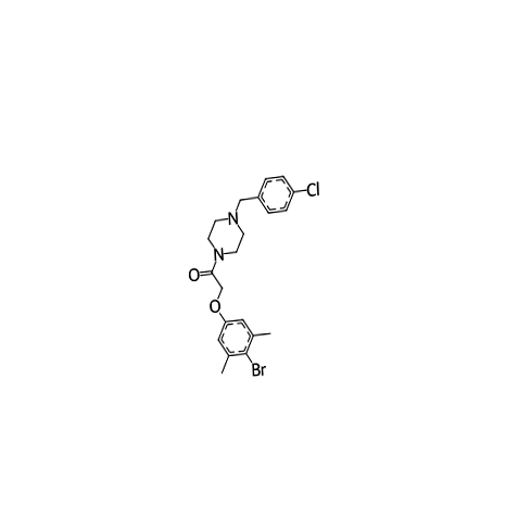 Cc1cc(OCC(=O)N2CCN(Cc3ccc(Cl)cc3)CC2)cc(C)c1Br